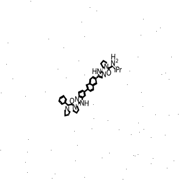 CC(C)[C@H](N)C(=O)N1CCC[C@H]1c1ncc(-c2ccc3cc(-c4ccc5nc([C@@H]6CCCN6C(=O)[C@@H](c6ccccc6)N6CCCC6)[nH]c5c4)ccc3c2)[nH]1